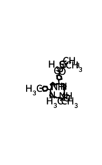 Cc1ccc(/C2=c3\cc/c([nH]3)=C(\c3ccc(C(=O)OCC[Si](C)(C)C)cc3)C3=N/C(=C\C4NC(/C=C5/C=CC2=N5)C(C)(C)C4=O)C=C3)cc1